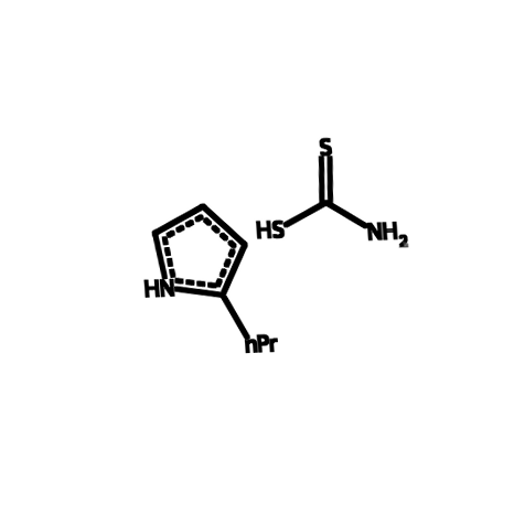 CCCc1ccc[nH]1.NC(=S)S